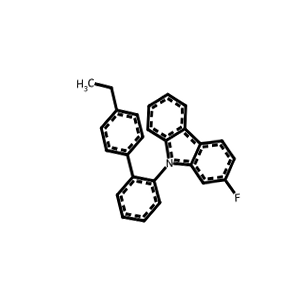 CCc1ccc(-c2ccccc2-n2c3ccccc3c3ccc(F)cc32)cc1